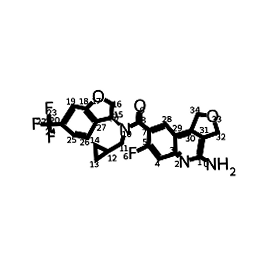 Nc1nc2cc(F)c(C(=O)N(CC3CC3)[C@@H]3COc4cc(C(F)(F)F)ccc43)cc2c2c1COC2